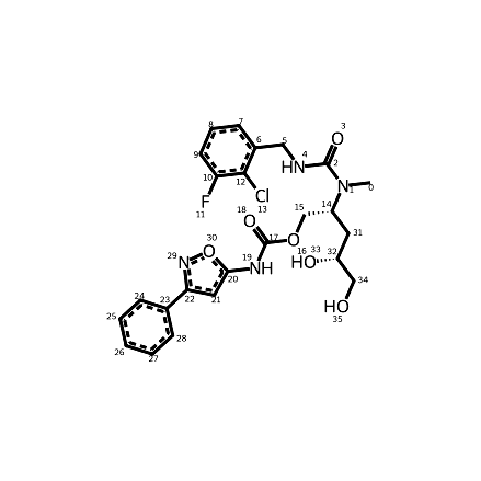 CN(C(=O)NCc1cccc(F)c1Cl)[C@@H](COC(=O)Nc1cc(-c2ccccc2)no1)C[C@@H](O)CO